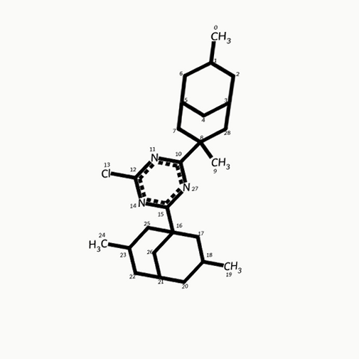 CC1CC2CC(C1)CC(C)(c1nc(Cl)nc(C34CC(C)CC(CC(C)C3)C4)n1)C2